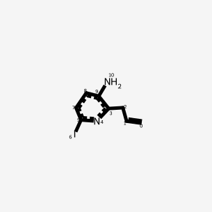 C=CCc1nc(I)ccc1N